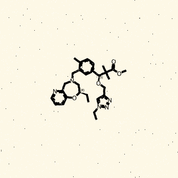 CC[C@@H]1CN(Cc2cc([C@H](OCc3cn(CC)nn3)C(C)(C)C(=O)OC)ccc2C)Cc2ncccc2O1